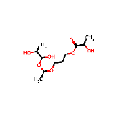 CC(OCCCOC(=O)C(C)O)OC(O)C(C)O